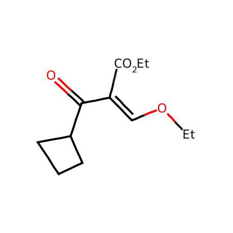 CCOC=C(C(=O)OCC)C(=O)C1CCC1